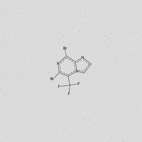 FC(F)(F)c1c(Br)nc(Br)c2nccn12